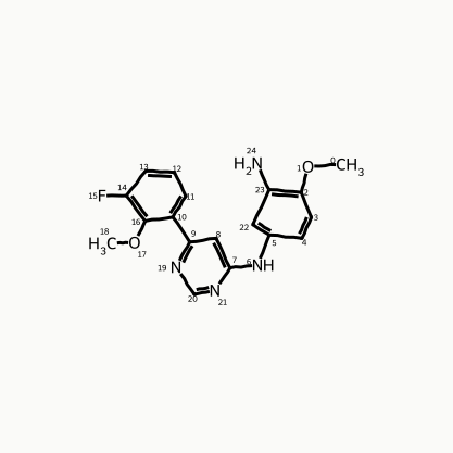 COc1ccc(Nc2cc(-c3cccc(F)c3OC)ncn2)cc1N